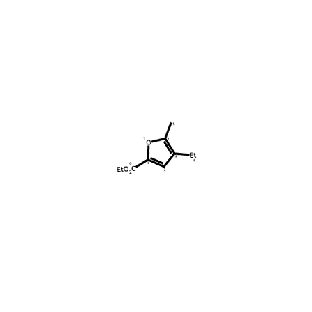 CCOC(=O)c1cc(CC)c(C)o1